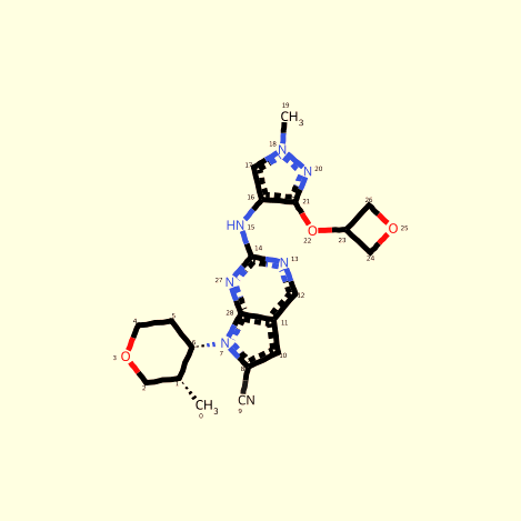 C[C@@H]1COCC[C@@H]1n1c(C#N)cc2cnc(Nc3cn(C)nc3OC3COC3)nc21